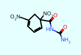 NC(=O)NC(=O)C1([N+](=O)[O-])C=CC=C([N+](=O)[O-])C1